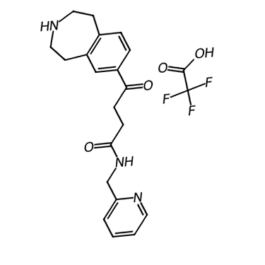 O=C(CCC(=O)c1ccc2c(c1)CCNCC2)NCc1ccccn1.O=C(O)C(F)(F)F